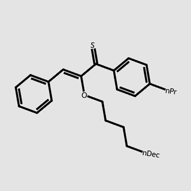 CCCCCCCCCCCCCCOC(=Cc1ccccc1)C(=S)c1ccc(CCC)cc1